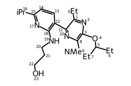 CCc1nc(OC(CC)CC)c(NC)nc1-c1ccc(C(C)C)nc1NCCCO